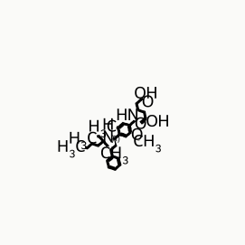 CCCCC(CC)(CC)N[C@H](CCc1ccccc1)c1cc(OC)c(CNC(CC(=O)O)CC(=O)O)cc1C